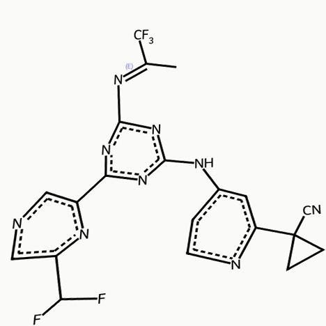 C/C(=N\c1nc(Nc2ccnc(C3(C#N)CC3)c2)nc(-c2cncc(C(F)F)n2)n1)C(F)(F)F